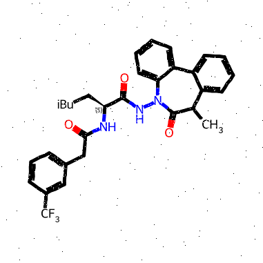 CCC(C)C[C@H](NC(=O)Cc1cccc(C(F)(F)F)c1)C(=O)NN1C(=O)C(C)c2ccccc2-c2ccccc21